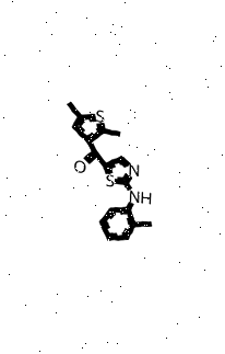 Cc1cc(C(=O)c2cnc(Nc3ccccc3C)s2)c(C)s1